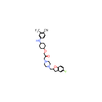 N#Cc1ccc(NC2CCC(OCC(=O)CN3CCN(CC4Cc5cc(F)ccc5O4)CC3)CC2)cc1C(F)(F)F